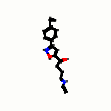 C=CN=CCCC(=O)c1cc(-c2ccc(OC)cc2)no1